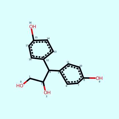 OCC(O)C(c1ccc(O)cc1)c1ccc(O)cc1